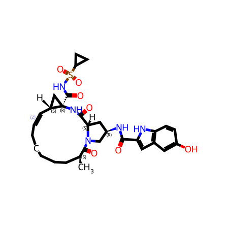 C[C@H]1CCCCC/C=C\[C@@H]2C[C@@]2(C(=O)NS(=O)(=O)C2CC2)NC(=O)[C@@H]2C[C@@H](NC(=O)c3cc4cc(O)ccc4[nH]3)CN2C1=O